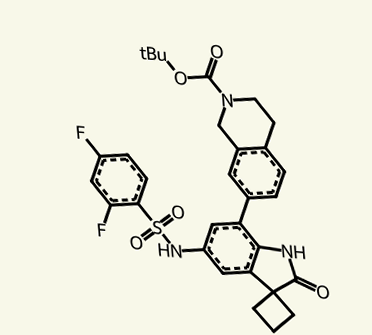 CC(C)(C)OC(=O)N1CCc2ccc(-c3cc(NS(=O)(=O)c4ccc(F)cc4F)cc4c3NC(=O)C43CCC3)cc2C1